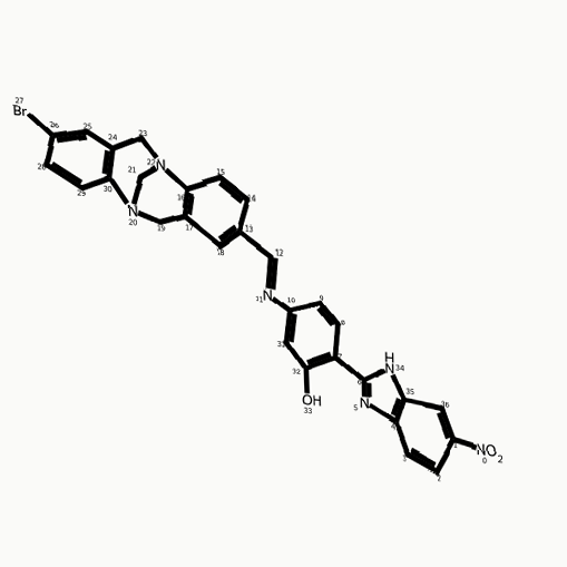 O=[N+]([O-])c1ccc2nc(-c3ccc(N=Cc4ccc5c(c4)CN4CN5Cc5cc(Br)ccc54)cc3O)[nH]c2c1